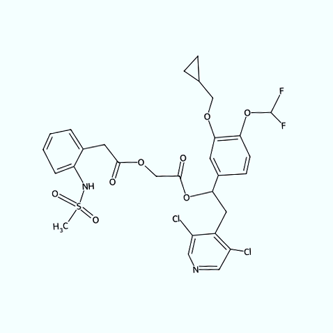 CS(=O)(=O)Nc1ccccc1CC(=O)OCC(=O)OC(Cc1c(Cl)cncc1Cl)c1ccc(OC(F)F)c(OCC2CC2)c1